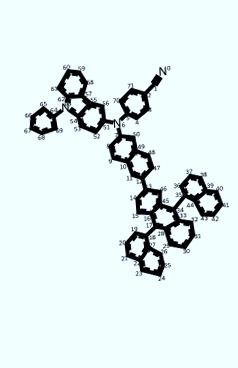 N#Cc1ccc(N(c2ccc3cc(-c4ccc5c(-c6cccc7ccccc67)c6ccccc6c(-c6cccc7ccccc67)c5c4)ccc3c2)c2ccc3c(c2)c2ccccc2n3-c2ccccc2)cc1